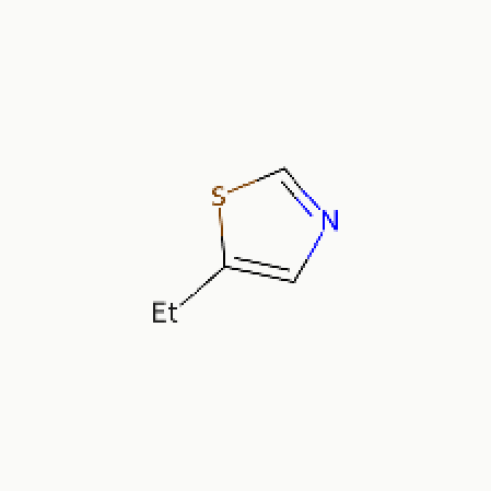 CCc1cncs1